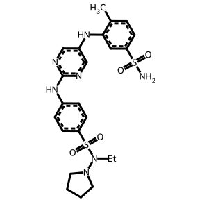 CCN(N1CCCC1)S(=O)(=O)c1ccc(Nc2ncc(Nc3cc(S(N)(=O)=O)ccc3C)cn2)cc1